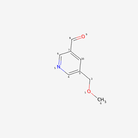 COCc1cncc(C=O)c1